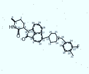 C=C1CCC(N2C(=O)c3ccc(C4CCN(Cc5ccc(C)c(F)c5)CC4)c4cccc2c34)C(=O)N1